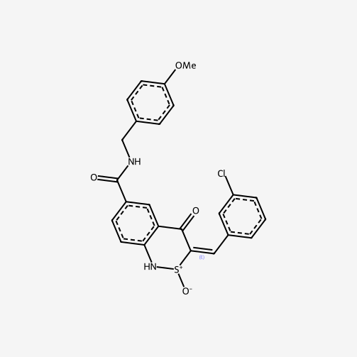 COc1ccc(CNC(=O)c2ccc3c(c2)C(=O)/C(=C\c2cccc(Cl)c2)[S+]([O-])N3)cc1